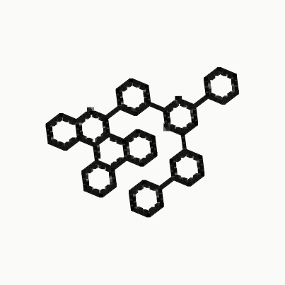 c1ccc(-c2cccc(-c3cc(-c4ccccc4)nc(-c4cccc(-c5nc6ccccc6c6c7ccccc7c7ccccc7c56)c4)n3)c2)cc1